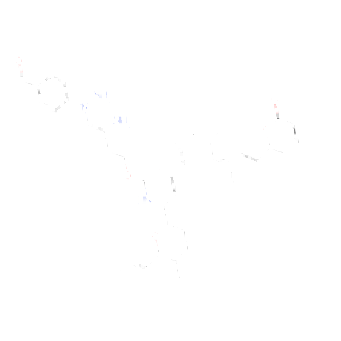 C/C=C/C1OC(C(/C=C/C=C(\C)CC(C)/C=C(C)\C=C\C2CC=CC(=O)O2)NC(=O)OCC/C(N)=C/N(N)c2ccc(C=O)cc2)CCC1C